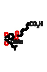 CO[C@H]1[C@H](C2(C)OC2CC=C(C)C)[C@]2(CC[C@H]1OC(=O)\C=C/C=C\C=C/C=C\C(=O)O)CO2